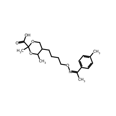 CC(=NOCCCCC1COC(C)(C(=O)O)OC1C)c1ccc(C)cc1